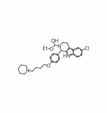 CCOC(O)N1CCc2c([nH]c3ccc(Cl)cc23)C1c1ccc(OCCCCN2CCCCC2)cc1